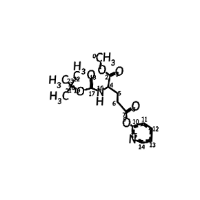 COC(=O)C(CCC(=O)Oc1ccccn1)NC(=O)OC(C)(C)C